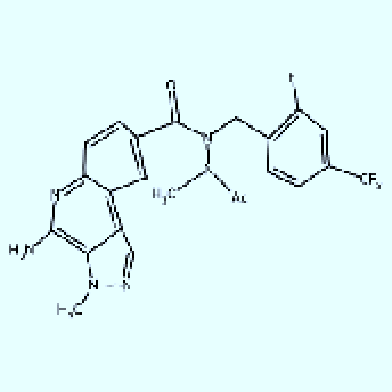 CC(=O)N(C)N(Cc1ccc(C(F)(F)F)cc1F)C(=O)c1ccc2nc(N)c3c(cnn3C)c2c1